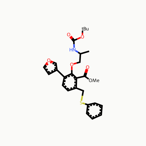 COC(=O)c1c(CSc2ccccc2)ccc(-c2ccoc2)c1OCC(C)NC(=O)OC(C)(C)C